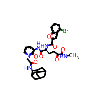 CNC(=O)C(=O)CC[C@H](NC(=O)c1cc2c(Br)cccc2o1)C(=O)Nc1cccn(CC(=O)NC2C3CC4CC(C3)CC2C4)c1=O